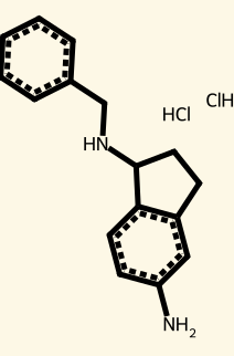 Cl.Cl.Nc1ccc2c(c1)CCC2NCc1ccccc1